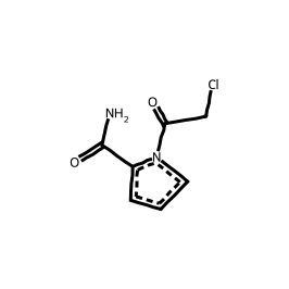 NC(=O)c1cccn1C(=O)CCl